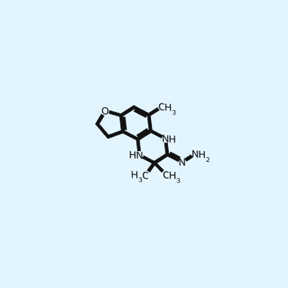 Cc1cc2c(c3c1NC(=NN)C(C)(C)N3)CCO2